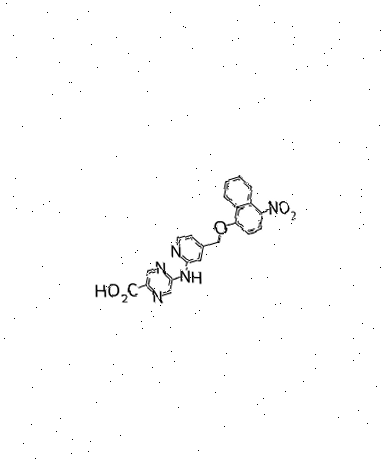 O=C(O)c1cnc(Nc2cc(COc3ccc([N+](=O)[O-])c4ccccc34)ccn2)cn1